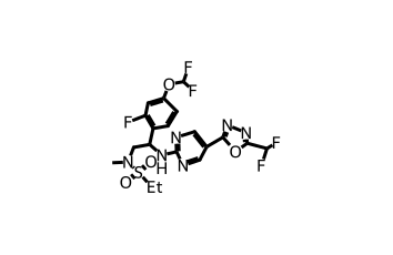 CCS(=O)(=O)N(C)CC(Nc1ncc(-c2nnc(C(F)F)o2)cn1)c1ccc(OC(F)F)cc1F